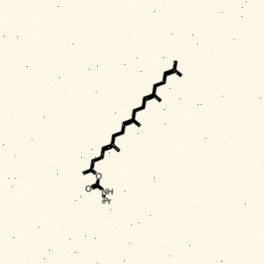 CC(C)=CCC/C(C)=C/CC/C(C)=C/CC/C(C)=C/CCC(C)OC(=O)NC(C)C